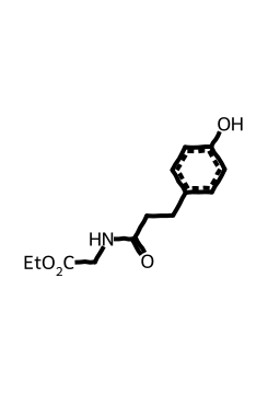 CCOC(=O)CNC(=O)CCc1ccc(O)cc1